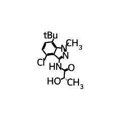 C[C@H](O)C(=O)Nc1nn(C)c2c(C(C)(C)C)ccc(Cl)c12